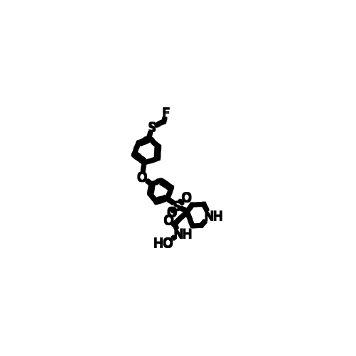 O=C(NO)C1(S(=O)(=O)c2ccc(Oc3ccc(SCF)cc3)cc2)CCNCC1